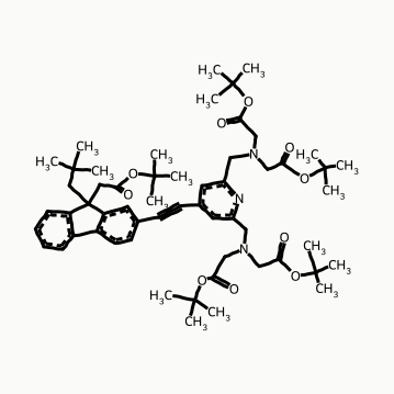 CC(C)(C)CC1(CC(=O)OC(C)(C)C)c2ccccc2-c2ccc(C#Cc3cc(CN(CC(=O)OC(C)(C)C)CC(=O)OC(C)(C)C)nc(CN(CC(=O)OC(C)(C)C)CC(=O)OC(C)(C)C)c3)cc21